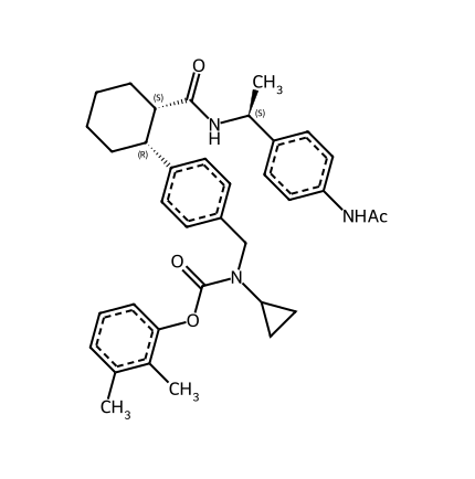 CC(=O)Nc1ccc([C@H](C)NC(=O)[C@H]2CCCC[C@H]2c2ccc(CN(C(=O)Oc3cccc(C)c3C)C3CC3)cc2)cc1